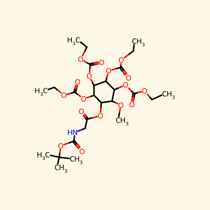 CCOC(=O)OC1C(OC)C(OC(=O)CNC(=O)OC(C)(C)C)C(OC(=O)OCC)C(OC(=O)OCC)C1OC(=O)OCC